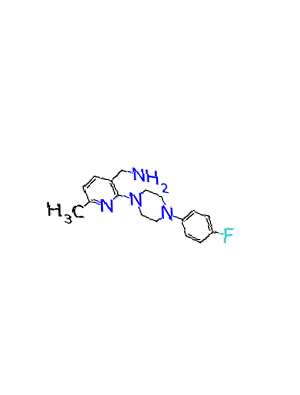 Cc1ccc(CN)c(N2CCN(c3ccc(F)cc3)CC2)n1